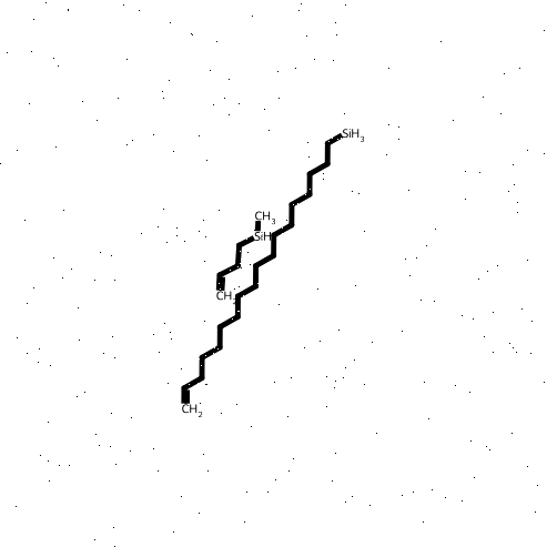 C=CCCCCCCCCCCCCCCCC[SiH3].C=CCC[SiH2]C